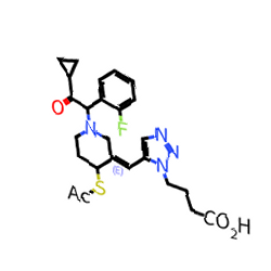 CC(=O)SC1CCN(C(C(=O)C2CC2)c2ccccc2F)C/C1=C\c1cnnn1CCCC(=O)O